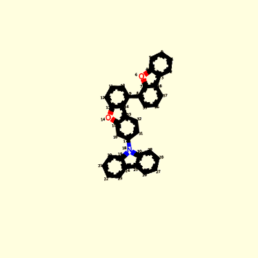 c1ccc2c(c1)oc1c(-c3cccc4oc5cc(-n6c7ccccc7c7ccccc76)ccc5c34)cccc12